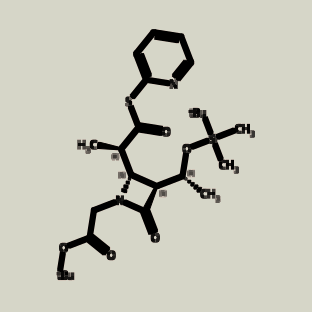 C[C@@H](O[Si](C)(C)C(C)(C)C)[C@H]1C(=O)N(CC(=O)OC(C)(C)C)[C@@H]1[C@@H](C)C(=O)Sc1ccccn1